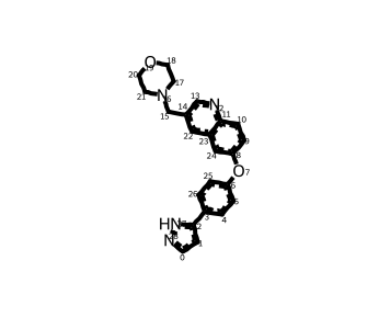 c1cc(-c2ccc(Oc3ccc4ncc(CN5CCOCC5)cc4c3)cc2)[nH]n1